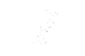 CCC(C#N)Cc1cccc(N2Cc3c(cc(CCl)cc3C(F)(F)F)C2=O)c1